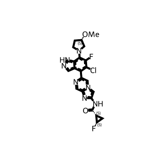 CO[C@H]1CCN(c2c(F)c(Cl)c(-c3cn4cc(NC(=O)[C@@H]5C[C@@H]5F)nc4cn3)c3cn[nH]c23)C1